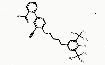 CC(C)(C)c1cc(CCCCOc2ccc(-c3ncccc3C(=O)O)cc2C#N)cc(C(C)(C)C)c1O